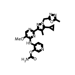 COc1cnc(-c2nn(Cc3nnc(C)o3)c(C3CC3)c2C)nc1Nc1ccncc1OC(N)=O